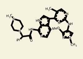 COc1nn(C)cc1Nc1ncc(C)c(-c2c[nH]c3c(NC(=O)C(C(C)C)N4CCN(C)CC4)nccc23)n1